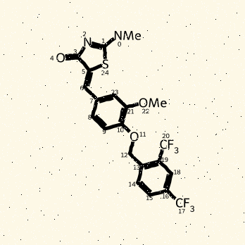 CNC1=NC(=O)C(=Cc2ccc(OCc3ccc(C(F)(F)F)cc3C(F)(F)F)c(OC)c2)S1